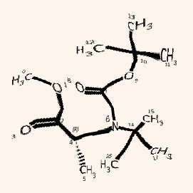 COC(=O)[C@@H](C)N(C(=O)OC(C)(C)C)C(C)(C)C